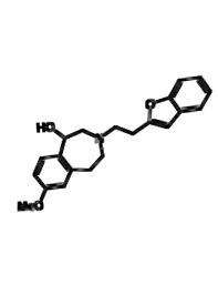 COc1ccc2c(c1)CCN(CCc1cc3ccccc3o1)CC2O